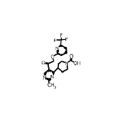 Cc1ncc(C(=O)COc2cccc(C(F)(F)F)n2)c(C2CCN(C(=O)O)CC2)n1